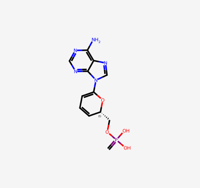 C=P(O)(O)OC[C@@H]1C=CC=C(n2cnc3c(N)ncnc32)O1